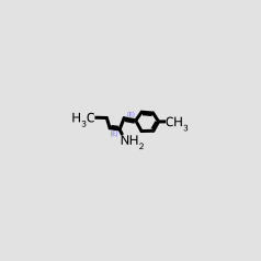 CC/C=C(N)\C=C1\C=CC(C)=CC1